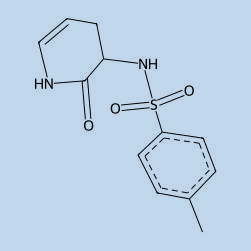 Cc1ccc(S(=O)(=O)NC2CC=CNC2=O)cc1